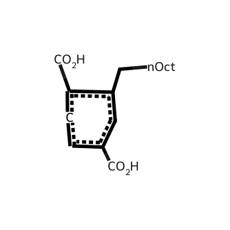 CCCCCCCCCc1cc(C(=O)O)ccc1C(=O)O